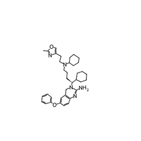 Cc1nc(CCN(CCC[C@@H](C2CCCCC2)N2Cc3cc(Oc4ccccc4)ccc3N=C2N)C2CCCCC2)co1